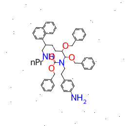 CCCNCC(CCC(OCc1ccccc1)C(OCc1ccccc1)N(CCc1ccc(N)cc1)C(=O)OCc1ccccc1)c1cccc2ccccc12